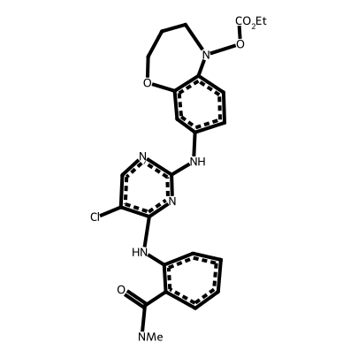 CCOC(=O)ON1CCCOc2cc(Nc3ncc(Cl)c(Nc4ccccc4C(=O)NC)n3)ccc21